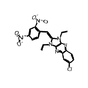 CCN1/C(=C/c2ccc([N+](=O)[O-])cc2[N+](=O)[O-])N(CC)c2nc3cc(Cl)ccc3nc21